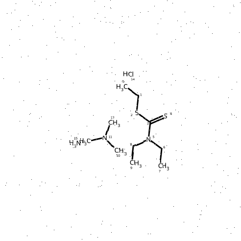 CCSC(=S)N(CC)CC.CN(C)C.Cl.N